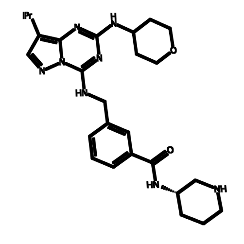 CC(C)c1cnn2c(NCc3cccc(C(=O)N[C@H]4CCCNC4)c3)nc(NC3CCOCC3)nc12